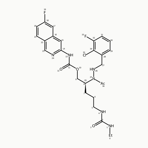 [CH2]CNC(=O)NCCC[C@@H](COC(=O)Nc1cc2cc(F)ccc2cn1)N(NCc1cccc(F)c1Cl)C(C)=O